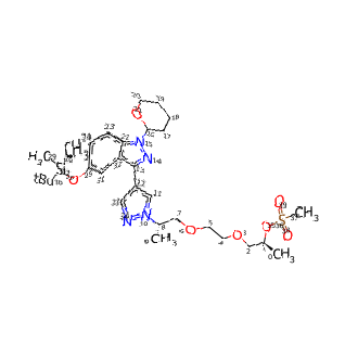 C[C@@H](COCCOC[C@H](C)n1cc(-c2nn(C3CCCCO3)c3ccc(O[Si](C)(C)C(C)(C)C)cc23)cn1)OS(C)(=O)=O